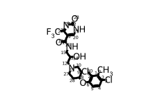 Cc1c(Cl)ccc(OC2CCN(CC(O)CNC(=O)c3c[nH]c(=O)nc3C(F)(F)F)CC2)c1Cl